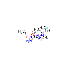 C=CCCOc1nc(-c2cc([C@@H](C)N(CC)C(=O)NC(CC=C)CCC(C)(C)F)ncc2OC)cn2ccnc12